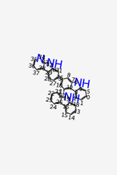 c1ccc2c(c1)[nH]c1ccccc12.c1ccc2c(c1)[nH]c1ccccc12.c1ccc2c(c1)[nH]c1ncccc12